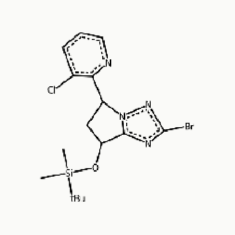 CC(C)(C)[Si](C)(C)OC1CC(c2ncccc2Cl)n2nc(Br)nc21